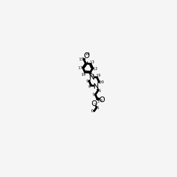 CCOC(=O)CCN1CCN(c2ccc(C=O)cc2)CC1